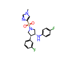 Cn1cnc(S(=O)(=O)N2C[C@H](Nc3ccc(F)cc3)[C@@H](c3cccc(F)c3)C2)c1